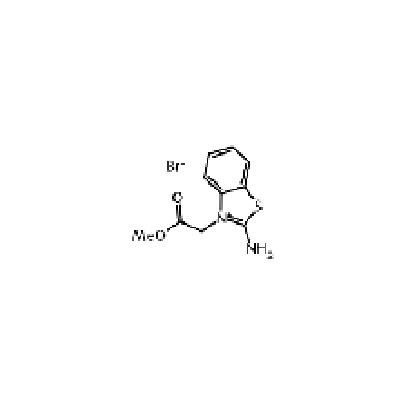 COC(=O)C[n+]1c(N)sc2ccccc21.[Br-]